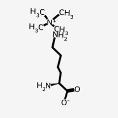 C[N+](C)(C)C.NCCCC[C@H](N)C(=O)[O-]